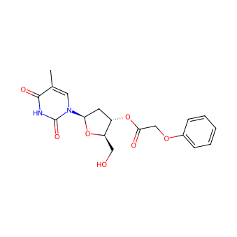 Cc1cn([C@H]2C[C@H](OC(=O)COc3ccccc3)[C@@H](CO)O2)c(=O)[nH]c1=O